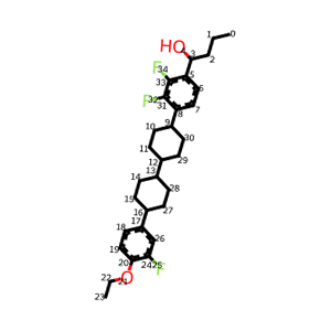 CCCC(O)c1ccc(C2CCC(C3CCC(c4ccc(OCC)c(F)c4)CC3)CC2)c(F)c1F